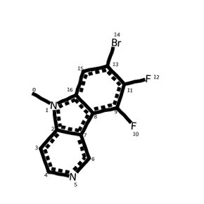 Cn1c2ccncc2c2c(F)c(F)c(Br)cc21